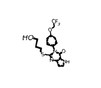 O=c1c2[nH]ccc2nc(SCCCO)n1-c1ccc(OCC(F)(F)F)cc1